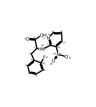 O=C(O)C(Cc1ccccc1F)Nc1ncccc1[N+](=O)[O-]